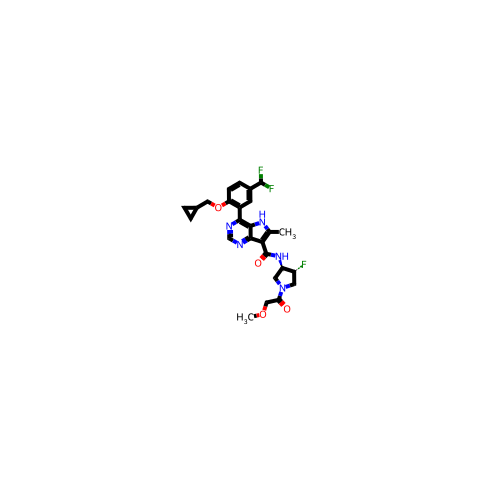 COCC(=O)N1C[C@@H](F)[C@H](NC(=O)c2c(C)[nH]c3c(-c4cc(C(F)F)ccc4OCC4CC4)ncnc23)C1